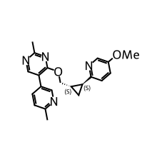 COc1ccc([C@H]2C[C@@H]2COc2nc(C)ncc2-c2ccc(C)nc2)nc1